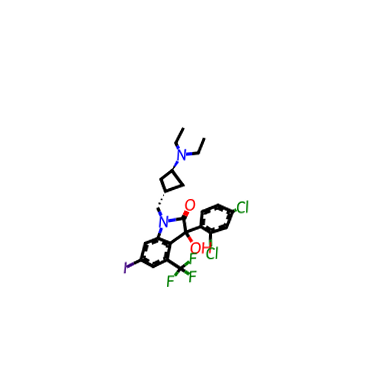 CCN(CC)[C@H]1C[C@H](CN2C(=O)C(O)(c3ccc(Cl)cc3Cl)c3c2cc(I)cc3C(F)(F)F)C1